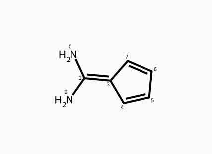 NC(N)=C1C=CC=C1